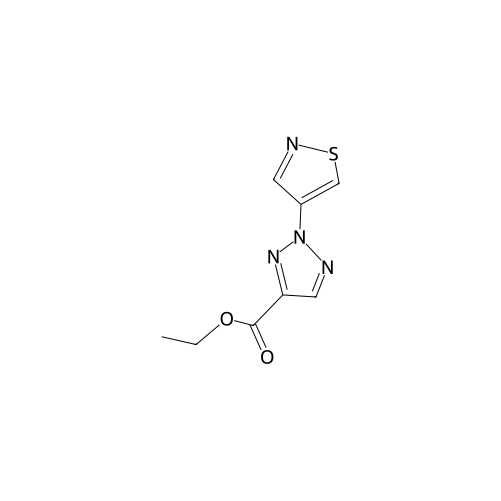 CCOC(=O)c1cnn(-c2cnsc2)n1